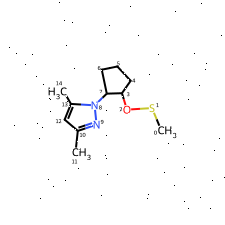 CSOC1CCCC1n1nc(C)cc1C